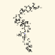 CC(C)(C)OC(=O)N1CCC(N/C=C(\C=N)c2cnc3cnn(S(=O)(=O)c4cnc5ccc(-c6cnn(C7CCN(C(=O)OC(C)(C)C)CC7)c6)cn45)c3c2)CC1